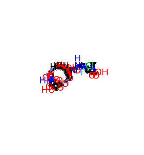 CO[C@H]1/C=C/O[C@@]2(C)Oc3c(C)c(O)c4c(c3C2=O)C(=O)C(N2CCOCC2)=C(NC(=O)/C(C)=C\C=C\[C@H](C)[C@H](O)[C@@H](C)[C@@H](O)[C@@H](C)[C@H](OC(=O)NCC(=O)NC2CCN(c3c(F)cc5c(=O)c(C(=O)O)cn(C6CC6)c5c3Cl)C2)[C@@H]1C)C4=O